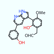 COc1ccc(CC=O)c(O)c1-c1c[nH]c2ncc(-c3cccc(O)c3)cc12